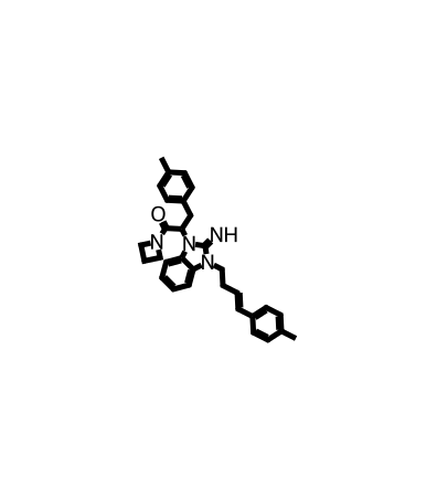 Cc1ccc(/C=C/CCn2c(=N)n(C(Cc3ccc(C)cc3)C(=O)N3CCC3)c3ccccc32)cc1